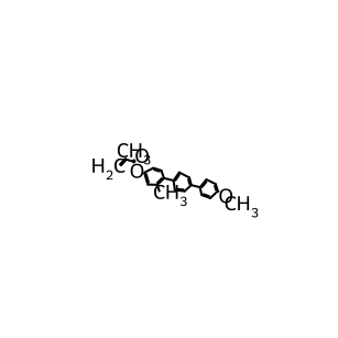 C=C(C)C(=O)Oc1ccc(-c2ccc(-c3ccc(OC)cc3)cc2)c(C)c1